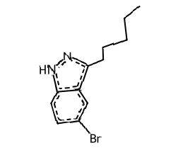 CCCCCc1n[nH]c2ccc(Br)cc12